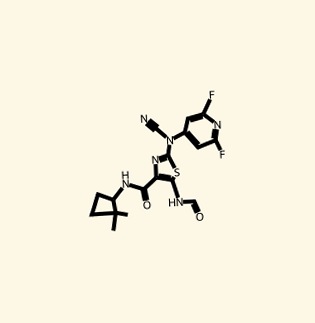 CC1(C)CCC1NC(=O)c1nc(N(C#N)c2cc(F)nc(F)c2)sc1NC=O